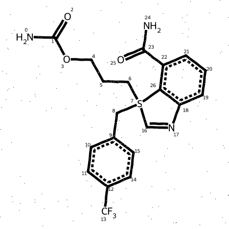 NC(=O)OCCCS1(Cc2ccc(C(F)(F)F)cc2)C=Nc2cccc(C(N)=O)c21